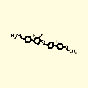 CCCC1CCC(C2CC=C(OCc3ccc(C4=CCC(OCC)C=C4F)cc3)C(F)=C2F)CC1